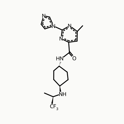 Cc1cc(C(=O)N[C@H]2CC[C@H](N[C@H](C)C(F)(F)F)CC2)nc(-n2ccnc2)n1